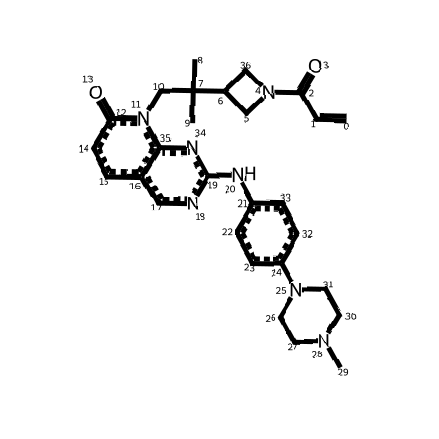 C=CC(=O)N1CC(C(C)(C)Cn2c(=O)ccc3cnc(Nc4ccc(N5CCN(C)CC5)cc4)nc32)C1